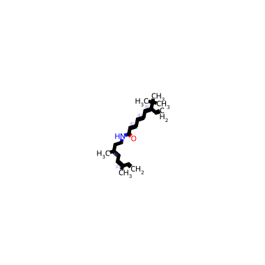 C=C/C(C)=C\C=C(/C)CCNC(=O)/C=C/C=C/C=C(\C=C)C(C)(C)C